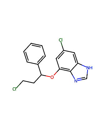 ClCCC(Oc1cc(Cl)cc2[nH]cnc12)c1ccccc1